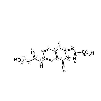 Cn1c2ccc(NC(=O)CC(=O)O)cc2c(=O)n2nc(C(=O)O)cc12